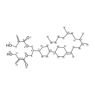 C=C(CO)C(=O)OCC(COC(=O)C(=C)CO)C1CCC(C2CCC(C(C)CCC(C)C(C)CCC(C)CCCCC)CC2)CC1